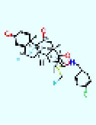 C[C@]12C=CC(=O)C=C1[C@@H](F)C[C@H]1[C@@H]3C[C@H]4CN(CC5C=CC(Cl)=CC5)O[C@@]4(C(=O)SCF)[C@@]3(C)C[C@H](O)[C@@]12F